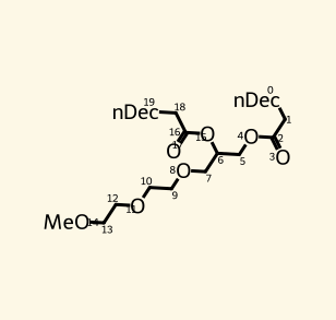 CCCCCCCCCCCC(=O)OCC(COCCOCCOC)OC(=O)CCCCCCCCCCC